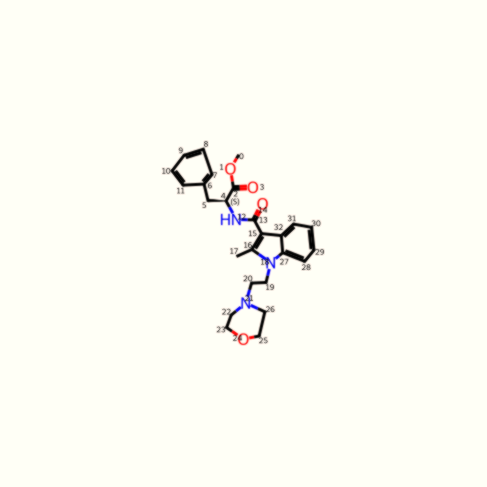 COC(=O)[C@H](Cc1ccccc1)NC(=O)c1c(C)n(CCN2CCOCC2)c2ccccc12